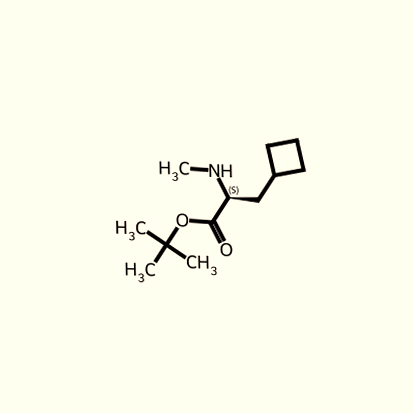 CN[C@@H](CC1CCC1)C(=O)OC(C)(C)C